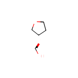 C1CCOC1.O=CO